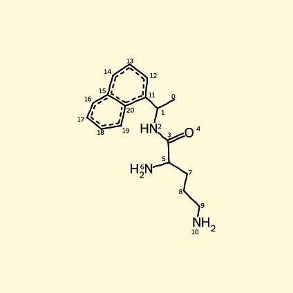 CC(NC(=O)C(N)CCCN)c1cccc2ccccc12